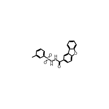 Cc1cccc(S(=O)(=O)NNC(=O)c2ccc3oc4ccccc4c3c2)c1